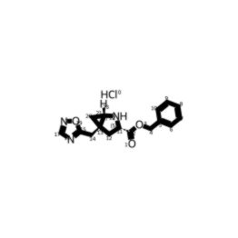 Cl.O=C(OCc1ccccc1)[C@@H]1C[C@]2(Cc3ncno3)C[C@@H]2N1